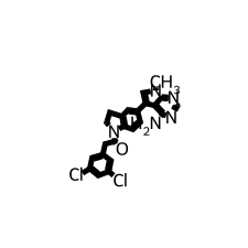 Cn1cc(-c2ccc3c(c2)CCN3C(=O)Cc2cc(Cl)cc(Cl)c2)c2c(N)ncnc21